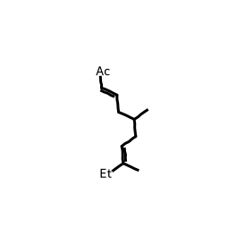 CCC(C)=CCC(C)CC=CC(C)=O